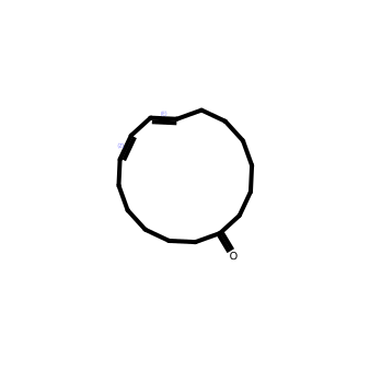 O=C1CCCCC/C=C\C=C\CCCCCC1